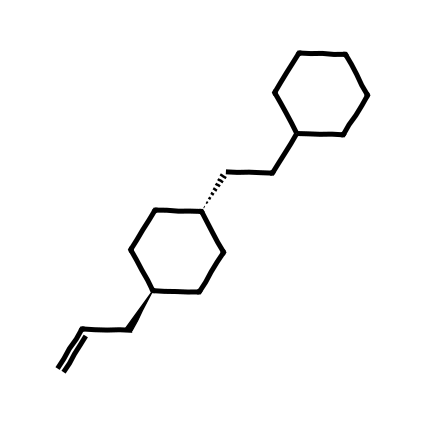 C=CC[C@H]1CC[C@H](CCC2CCCCC2)CC1